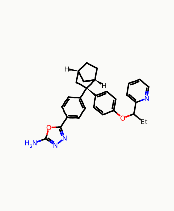 CCC(Oc1ccc([C@@]2(c3ccc(-c4nnc(N)o4)cc3)C[C@@H]3CC[C@H]2C3)cc1)c1ccccn1